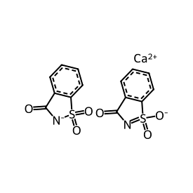 O=C1N=S(=O)([O-])c2ccccc21.O=C1[N-]S(=O)(=O)c2ccccc21.[Ca+2]